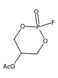 CC(=O)OC1COP(=O)(F)OC1